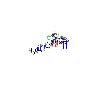 CN1CCC(N2CCN(C(=O)CN(C(=O)c3ccc4cc[nH]c4c3)c3ccccc3Cl)CC2)CC1